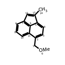 COCc1ccc2c3c(cccc13)C=C2C